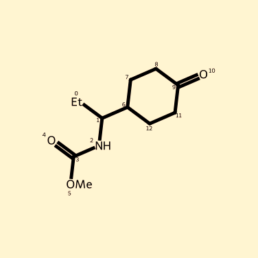 CCC(NC(=O)OC)C1CCC(=O)CC1